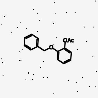 CC(=O)Oc1ccccc1OCc1ccccc1